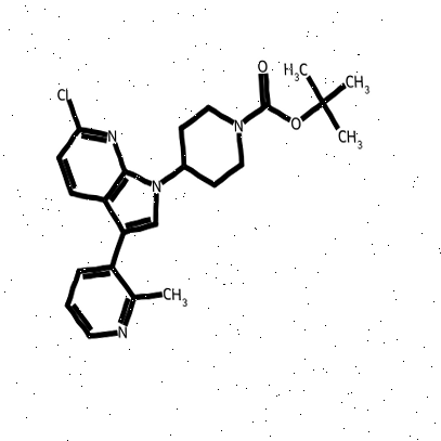 Cc1ncccc1-c1cn(C2CCN(C(=O)OC(C)(C)C)CC2)c2nc(Cl)ccc12